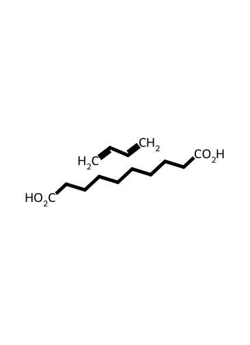 C=CC=C.O=C(O)CCCCCCCCC(=O)O